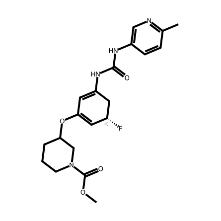 COC(=O)N1CCCC(OC2=C[C@@H](F)CC(NC(=O)Nc3ccc(C)nc3)=C2)C1